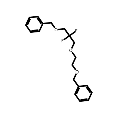 FC(F)(COCCOCc1ccccc1)COCc1ccccc1